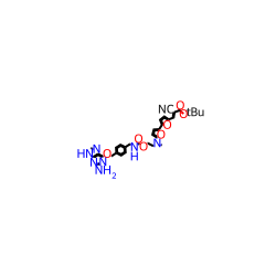 CN(CCOC(=O)NCc1ccc(COc2nc(N)nc3[nH]cnc23)cc1)c1ccc(-c2ccc(/C=C(\C#N)C(=O)OC(C)(C)C)o2)o1